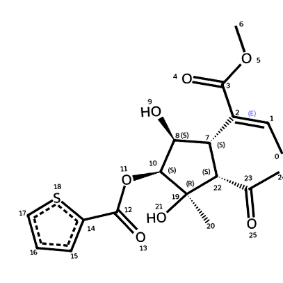 C/C=C(/C(=O)OC)[C@H]1[C@H](O)[C@H](OC(=O)c2cccs2)[C@](C)(O)[C@H]1C(C)=O